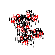 COC[C@]1(C)OC(C)(COC[C@@]2(C)OC(C)(C)[C@](C)(O)[C@@](C)(O)C2(C)O)[C@@](C)(COC[C@@]2(C)OC(C)(COC[C@]3(C)OC(C)(C)[C@@](C)(O)C(C)(O)[C@@]3(C)O)[C@](C)(COC[C@]3(C)OC(C)(C)[C@@](C)(COC)[C@@](C)(O)C3(C)O)C(C)(O)[C@]2(C)O)[C@@](C)(O)C1(C)O